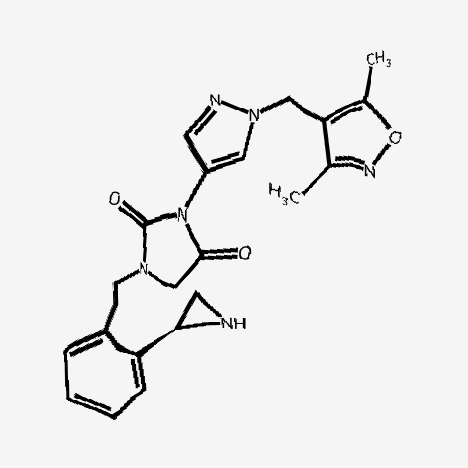 Cc1noc(C)c1Cn1cc(N2C(=O)CN(Cc3ccccc3[C@H]3CN3)C2=O)cn1